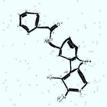 Nc1ncc2[nH]c3ccc(NC(=O)c4ccccc4)cc3c2c1N